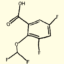 O=C(O)c1cc(F)cc(F)c1OC(F)F